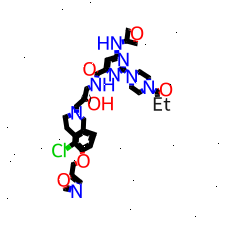 CCC(=O)N1CCN(c2nc(NC3COC3)cc(C(=O)NC[C@H](O)CN3CCc4c(ccc(OCc5cnco5)c4Cl)C3)n2)CC1